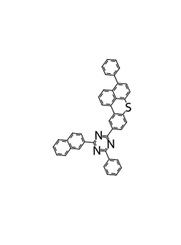 c1ccc(-c2nc(-c3ccc4c(c3)-c3cccc5c(-c6ccccc6)ccc(c35)S4)nc(-c3ccc4ccccc4c3)n2)cc1